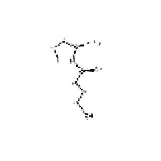 CC1CCCN1C(=O)CCCO